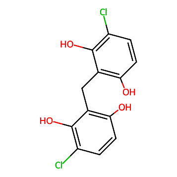 Oc1ccc(Cl)c(O)c1Cc1c(O)ccc(Cl)c1O